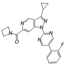 O=C(c1cc2c(cn1)c(C1CC1)nn2-c1ncc(-c2ccccc2F)cn1)N1CCC1